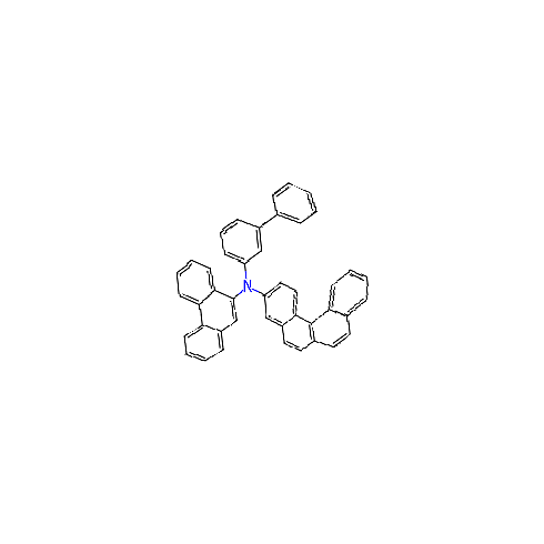 c1ccc(-c2cccc(N(c3ccc4c(ccc5ccc6ccccc6c54)c3)c3cc4ccccc4c4ccccc34)c2)cc1